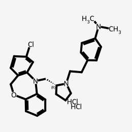 CN(C)c1ccc(CCN2CCC[C@@H]2CN2c3cc(Cl)ccc3COc3ccccc32)cc1.Cl.Cl